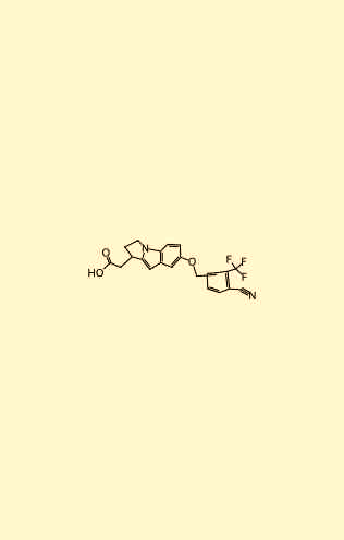 N#Cc1ccc(COc2ccc3c(c2)cc2n3CCC2CC(=O)O)cc1C(F)(F)F